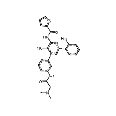 CN(C)CC(=O)Nc1cccc(-c2cc(-c3ccccc3O)nc(NC(=O)c3cccs3)c2C#N)c1